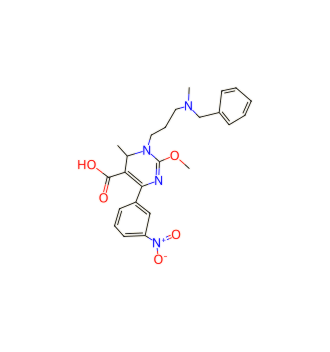 COC1=NC(c2cccc([N+](=O)[O-])c2)=C(C(=O)O)C(C)N1CCCN(C)Cc1ccccc1